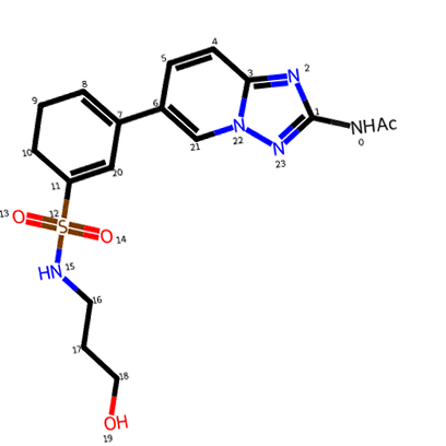 CC(=O)Nc1nc2ccc(C3=CCCC(S(=O)(=O)NCCCO)=C3)cn2n1